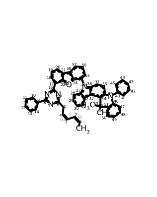 C/C=C\C=C/Cc1nc(-c2ccccc2)nc(-c2cccc3c2oc2c(-n4c5ccccc5c5c6c(ccc54)N(c4ccccc4)c4ccccc4C6(C)C)cccc23)n1